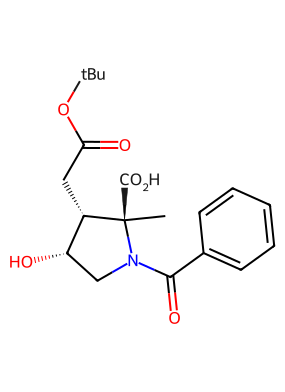 CC(C)(C)OC(=O)C[C@H]1[C@@H](O)CN(C(=O)c2ccccc2)[C@]1(C)C(=O)O